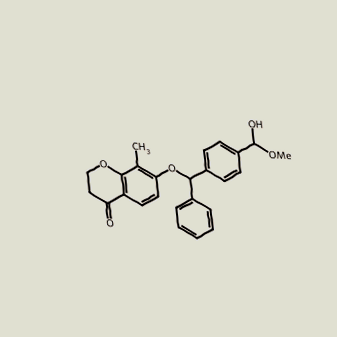 COC(O)c1ccc(C(Oc2ccc3c(c2C)OCCC3=O)c2ccccc2)cc1